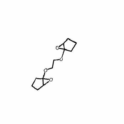 C1CC2OC2(OCCOC23CCCC2O3)C1